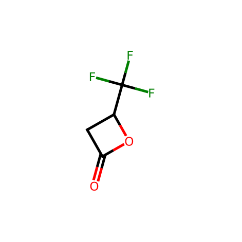 O=C1CC(C(F)(F)F)O1